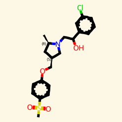 C[C@@H]1C[C@H](COc2ccc(S(C)(=O)=O)cc2)CN1CC(O)c1cccc(Cl)c1